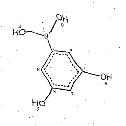 OB(O)c1cc(O)cc(O)c1